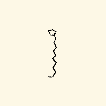 CCCCCCCCCCCCCCCCCCC1=NCCO1